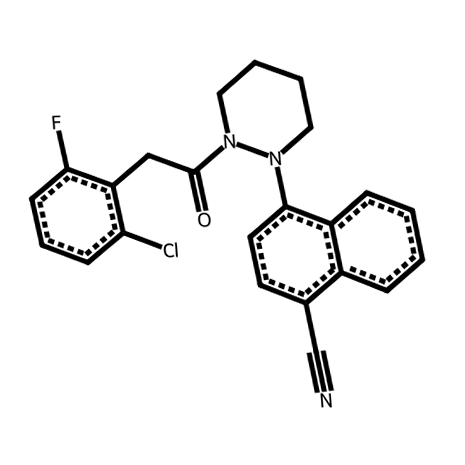 N#Cc1ccc(N2CCCCN2C(=O)Cc2c(F)cccc2Cl)c2ccccc12